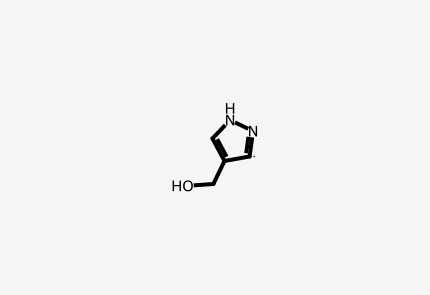 OCc1[c]n[nH]c1